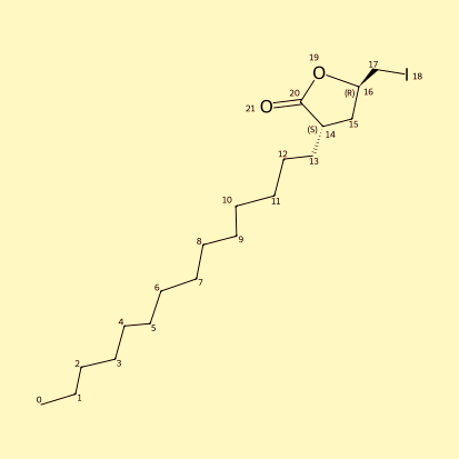 CCCCCCCCCCCCCC[C@H]1C[C@H](CI)OC1=O